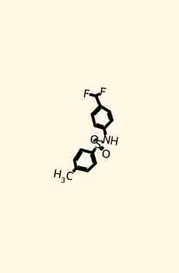 Cc1ccc(S(=O)(=O)Nc2ccc(C(F)F)cc2)cc1